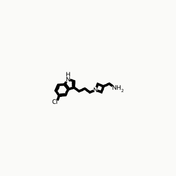 NCC1CN(CCCc2c[nH]c3ccc(Cl)cc23)C1